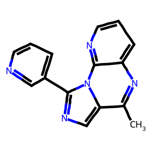 Cc1nc2cccnc2n2c(-c3cccnc3)ncc12